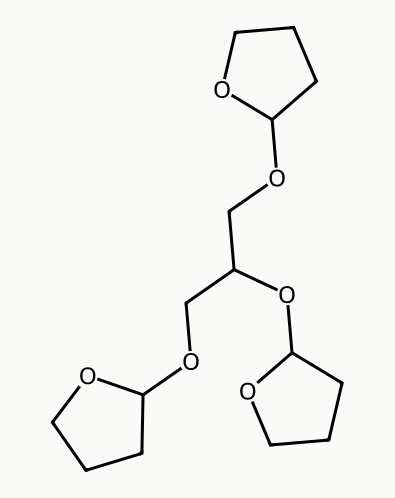 C1COC(OCC(COC2CCCO2)OC2CCCO2)C1